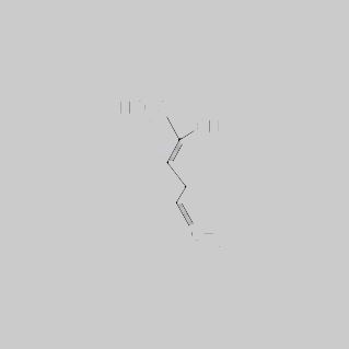 C=CC/C=C(\C)C(=O)O